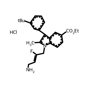 CCOC(=O)c1ccc2c(c1)c(-c1cccc(C(C)(C)C)c1)c(C)n2C/C(F)=C/CN.Cl